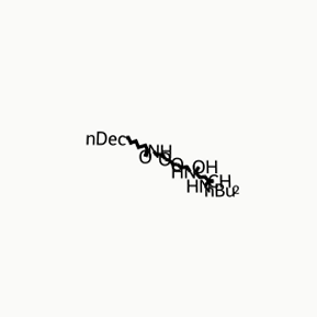 C=C(CCC(O)NCCOCCOCCNC(=O)CCCCCCCCCCCCCCC)NCCCC